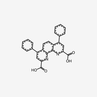 O=C(O)c1cc(-c2ccccc2)c2ccc3c(-c4ccccc4)cc(C(=O)O)nc3c2n1